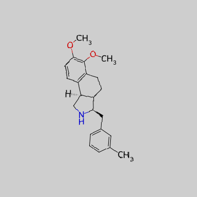 COc1ccc2c(c1OC)CCC1[C@@H](Cc3cccc(C)c3)NC[C@@H]21